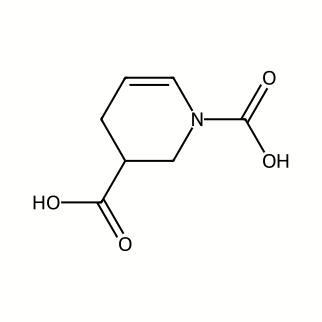 O=C(O)C1CC=CN(C(=O)O)C1